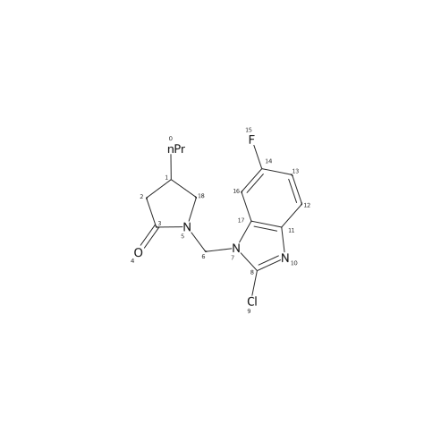 CCCC1CC(=O)N(Cn2c(Cl)nc3ccc(F)cc32)C1